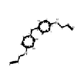 C=CC[N]c1ccc(Cc2ccc([N]CC=C)cc2)cc1